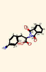 N#Cc1ccc(CC(C(=O)O)N2C(=O)c3ccccc3C2=O)cc1